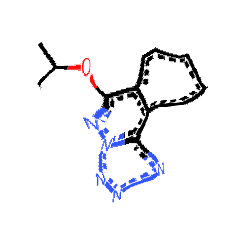 CC(C)Oc1nn2nnnc2c2ccccc12